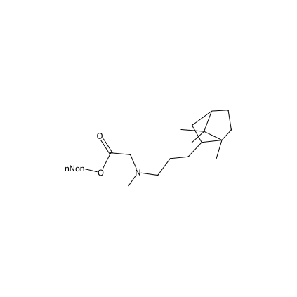 CCCCCCCCCOC(=O)CN(C)CCCC1CC2CCC1(C)C2(C)C